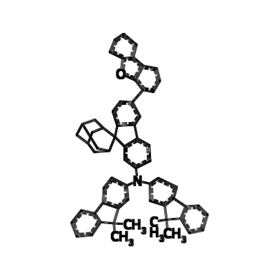 CC1(C)c2ccccc2-c2ccc(N(c3ccc4c(c3)C(C)(C)c3ccccc3-4)c3ccc4c(c3)C3(c5ccc(-c6cccc7c6oc6ccccc67)cc5-4)C4CC5CC(C4)CC3C5)cc21